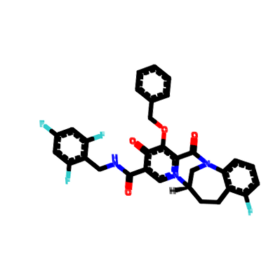 O=C(NCc1c(F)cc(F)cc1F)c1cn2c(c(OCc3ccccc3)c1=O)C(=O)N1C[C@@H]2CCc2c(F)cccc21